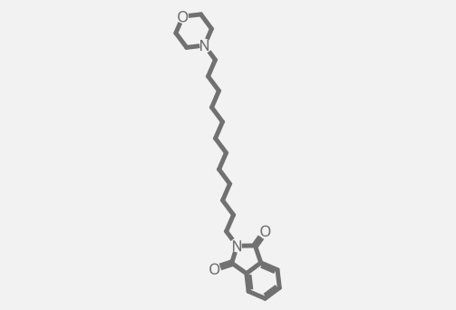 O=C1c2ccccc2C(=O)N1CCCCCCCCCCCCN1CCOCC1